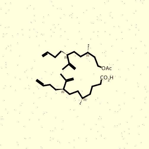 C=CCC[C@H](CC[C@@H](C)CCCC(=O)O)C(=C)C.C=CCC[C@H](CC[C@H](C)CCOC(C)=O)C(=C)C